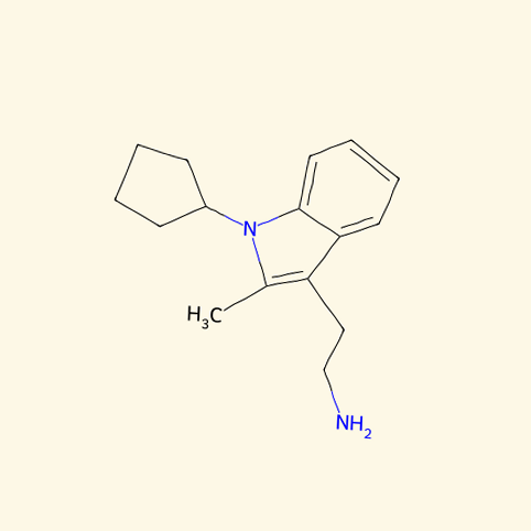 Cc1c(CCN)c2ccccc2n1C1CCCC1